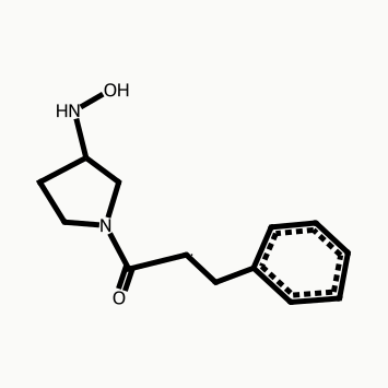 O=C([CH]Cc1ccccc1)N1CCC(NO)C1